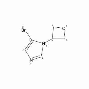 Brc1cncn1C1COC1